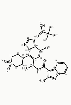 C[C@H](NC(=O)c1c(N)nn2cccnc12)c1cc(Cl)c2ccnn2c1N1CCS(=O)(=O)CC1.O=C(O)C(F)(F)F